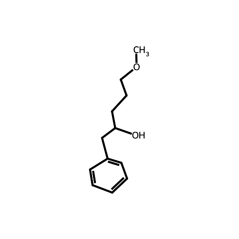 COCCCC(O)Cc1ccccc1